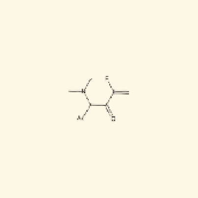 C=C(F)C(=O)C(C(C)=O)N(C)C